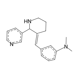 CN(C)c1cccc(C=C2CCCNC2c2cccnc2)c1